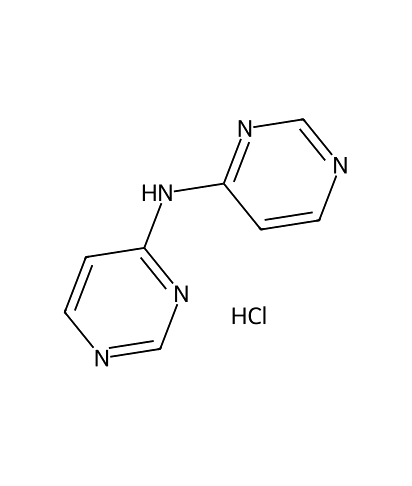 Cl.c1cc(Nc2ccncn2)ncn1